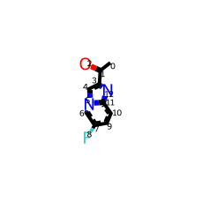 CC(=O)c1cn2cc(F)ccc2n1